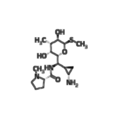 CS[C@H]1O[C@H]([C@H](NC(=O)[C@@H]2CCCN2C)[C@H]2C[C@@H]2N)[C@H](O)[C@H](C)[C@H]1O